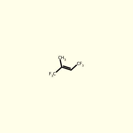 CC(=CC(F)(F)F)C(F)(F)F